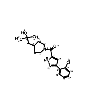 CC(C)(O)CC1CCN(C(=O)c2cc(-c3ccccc3Cl)n[nH]2)CC1